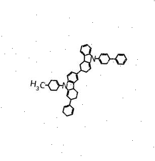 CC1CC=C(N2C3=CC(C4=CCCC=C4)CCC3c3cc(C4CC=C5C(C4)c4ccccc4N5C4=CCC(c5ccccc5)C=C4)ccc32)CC1